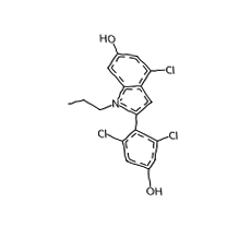 CCCn1c(-c2c(Cl)cc(O)cc2Cl)cc2c(Cl)cc(O)cc21